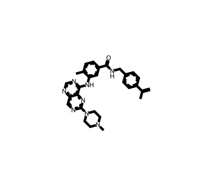 C=C(C)c1ccc(CNC(=O)c2ccc(C)c(Nc3ncnc4cnc(N5CCN(C)CC5)nc34)c2)cc1